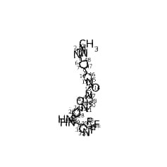 Cn1cnc(-c2ccc(C3=CCN(C(=O)CN4CC[C@]5(CCN(c6ccc7c(c6)C(c6ccnc(C(F)(F)F)c6)NN7)C5=O)C4)CC3)cc2)n1